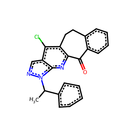 CC(c1ccccc1)n1ncc2c(Cl)c3c(nc21)C(=O)c1ccccc1CC3